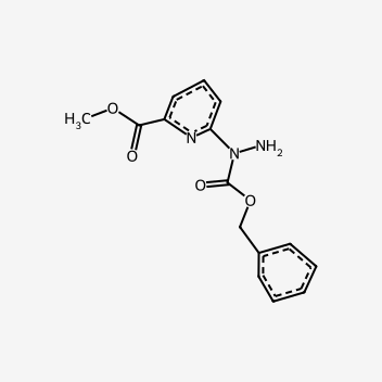 COC(=O)c1cccc(N(N)C(=O)OCc2ccccc2)n1